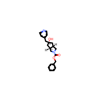 O=C(OCc1ccccc1)N1C[C@@H]2C[C@@](O)(Cc3ccncc3)C[C@@H]2C1